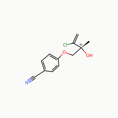 C=C(Cl)[C@](C)(O)COc1ccc(C#N)cc1